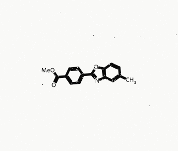 COC(=O)c1ccc(-c2nc3cc(C)ccc3o2)cc1